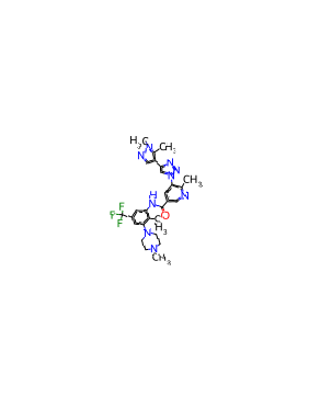 Cc1ncc(C(=O)Nc2cc(C(F)(F)F)cc(N3CCN(C)CC3)c2C)cc1-n1cc(-c2cnn(C)c2C)nn1